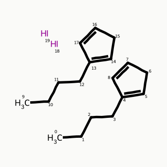 CCCCC1=CCC=C1.CCCCC1=CCC=C1.I.I